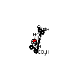 O=C(NC(c1ccccc1)c1cccc(C(=O)O)c1CCCCCCCNC[C@H](O)c1ccc(O)c2[nH]c(=O)ccc12)O[C@H]1CN2CCC1CC2